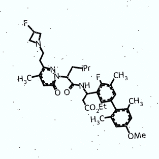 CCOC(=O)CC(NC(=O)C(CC(C)C)n1nc(CCN2CC(F)C2)c(C)cc1=O)c1cc(-c2c(C)cc(OC)cc2C)cc(C)c1F